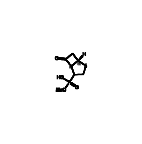 COP(=O)(O)C1CS[C@H]2CC(=O)N12